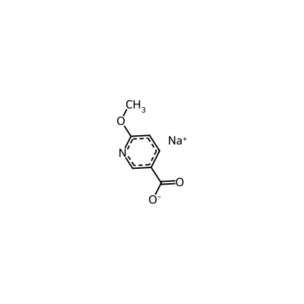 COc1ccc(C(=O)[O-])cn1.[Na+]